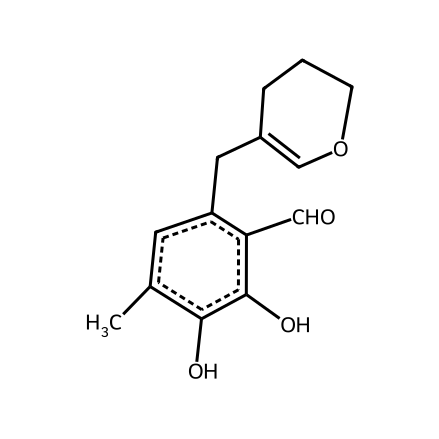 Cc1cc(CC2=COCCC2)c(C=O)c(O)c1O